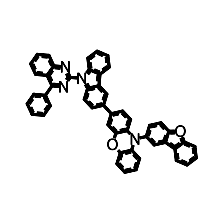 c1ccc(-c2nc(-n3c4ccccc4c4cc(-c5ccc6c(c5)Oc5ccccc5N6c5ccc6oc7ccccc7c6c5)ccc43)nc3ccccc23)cc1